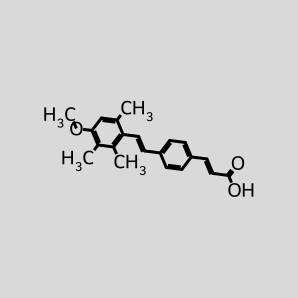 COc1cc(C)c(C=Cc2ccc(C=CC(=O)O)cc2)c(C)c1C